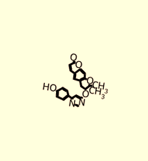 CC1(C)Oc2cc3oc(=O)ccc3cc2C[C@@H]1Oc1cc(-c2ccc(O)cc2)ncn1